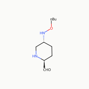 CCCCON[C@@H]1CC[C@@H](C=O)NC1